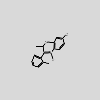 Cc1ccccc1C1=[N+]([O-])c2ccc(Cl)cc2SC1C